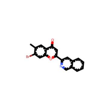 Cc1cc2c(=O)cc(-c3cc4ccccc4cn3)oc2cc1Br